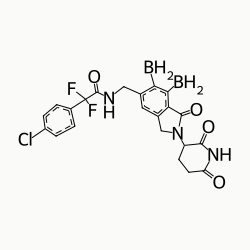 Bc1c(CNC(=O)C(F)(F)c2ccc(Cl)cc2)cc2c(c1B)C(=O)N(C1CCC(=O)NC1=O)C2